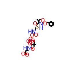 COC(=O)CCNC(=O)[C@@H]1OP(=O)(OCOC(=O)NCCSC(=O)[C@@H](NC(=O)OCc2ccccc2)C(C)C)OCC1(C)C